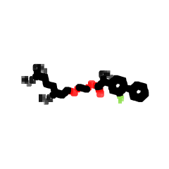 CC(C)=CCCC(C)=CCOCCOC(=O)C(C)c1ccc(-c2ccccc2)c(F)c1